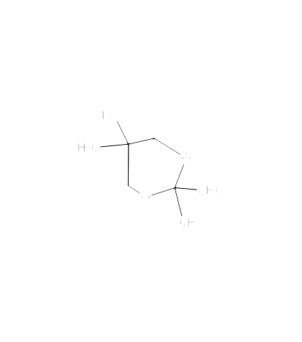 CC1(C)COC(C)(C=O)OC1